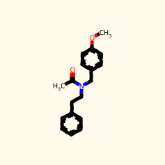 COc1ccc(CN(CCc2ccccc2)C(C)=O)cc1